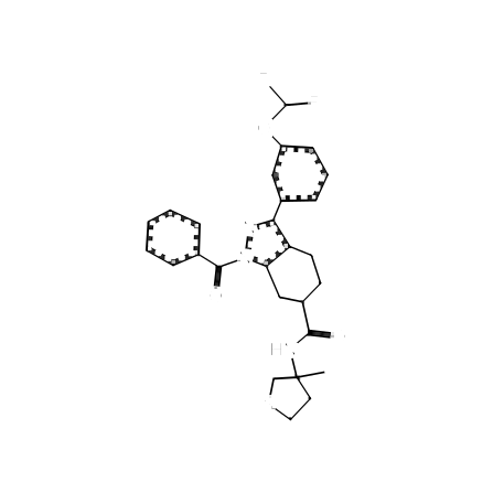 CC1(NC(=O)C2CCc3c(-c4cccc(OC(F)F)c4)nn(C(=O)c4ccccc4)c3C2)CCSC1